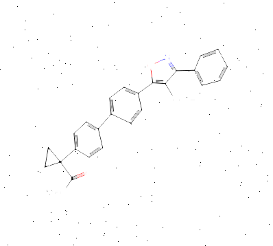 COC(=O)C1(c2ccc(-c3ccc(-c4onc(-c5ccccc5)c4C(=O)O)cc3)cc2)CC1